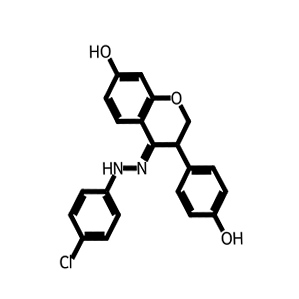 Oc1ccc(C2COc3cc(O)ccc3C2=NNc2ccc(Cl)cc2)cc1